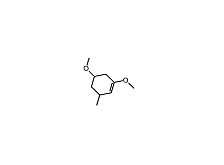 COC1=CC(C)CC(OC)C1